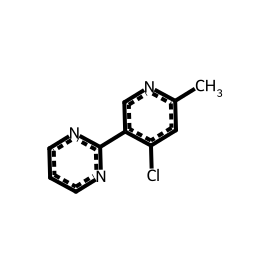 Cc1cc(Cl)c(-c2ncccn2)cn1